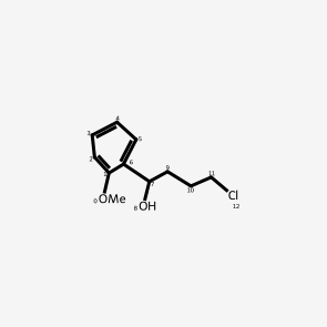 COc1ccccc1C(O)CCCCl